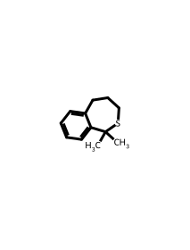 CC1(C)SCCCc2ccccc21